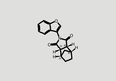 O=C1[C@@H]2[C@@H]3CC[C@@H](C3)[C@@H]2C(=O)N1c1coc2ccccc12